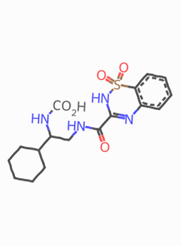 O=C(O)NC(CNC(=O)C1=Nc2ccccc2S(=O)(=O)N1)C1CCCCC1